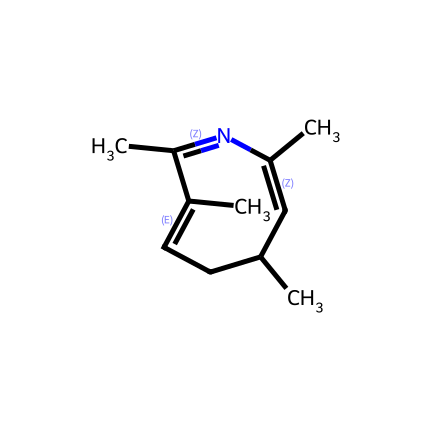 CC1=C/C(C)C/C=C(C)/C(C)=N\1